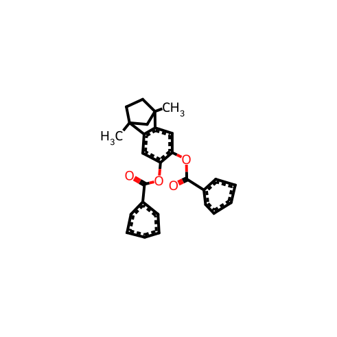 CC12CCC(C)(C1)c1cc(OC(=O)c3ccccc3)c(OC(=O)c3ccccc3)cc12